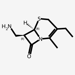 CCC1=C(C)N2C(=O)[C@@H](CN)[C@H]2SC1